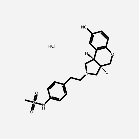 CS(=O)(=O)Nc1ccc(CCN2C[C@@H]3COc4ccc(C#N)cc4[C@H]3C2)cc1.Cl